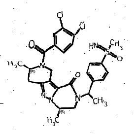 CC(c1ccc(S(C)(=N)=O)cc1)N1C[C@@H](C)n2nc3c(c2C1=O)CN(C(=O)c1ccc(Cl)c(Cl)c1)[C@H](C)C3